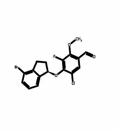 COc1c(C=O)cc(Cl)c(O[C@@H]2CCc3c(Br)cccc32)c1F